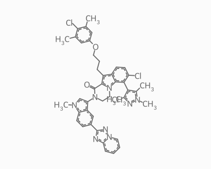 Cc1cc(OCCCc2c3n(c4c(-c5c(C)nn(C)c5C)c(Cl)ccc24)[C@H](C)CN(c2cn(C)c4ccc(-c5nc6ccccn6n5)cc24)C3=O)cc(C)c1Cl